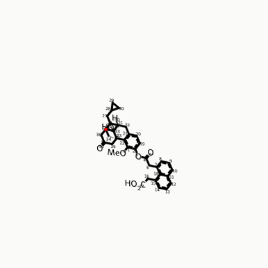 COc1c(OC(=O)Cc2cccc3cccc(CC(=O)O)c23)ccc2c1[C@]13CCC(CC4CC4)[C@H](C2)[C@]1(O)CCC(=O)C3